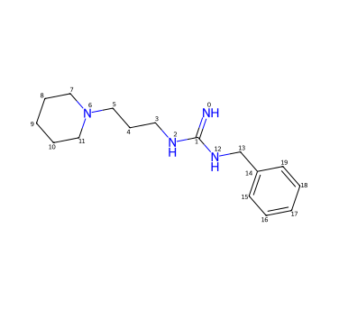 N=C(NCCCN1CCCCC1)NCc1ccccc1